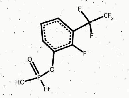 CCP(=O)(O)Oc1cccc(C(F)(F)C(F)(F)F)c1F